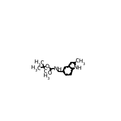 Cc1cc2cc(CNC(=O)OC(C)(C)C)ccc2[nH]1